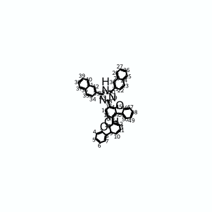 CC12Oc3ccccc3C1C=CC=C2c1ccc(C2=NC(c3ccc4ccccc4c3)NC(c3ccc4ccccc4c3)=N2)c2oc3ccccc3c12